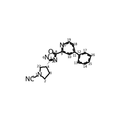 N#CN1CC[C@@H](c2noc(-c3cc(-c4ccccc4)ccn3)n2)C1